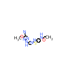 C=CC(=O)Nc1ccc2sc(N3CCC(Nc4ncc(C#N)c(OC)n4)C3)nc2c1